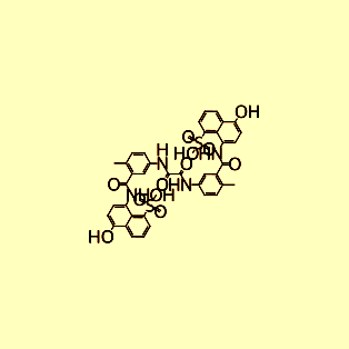 Cc1ccc(NC(=O)C(=O)Nc2ccc(C)c(C(=O)Nc3ccc(O)c4cccc(S(=O)(=O)O)c34)c2)cc1C(=O)Nc1ccc(O)c2cccc(S(=O)(=O)O)c12